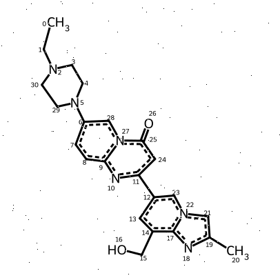 CCN1CCN(c2ccc3nc(-c4cc(CO)c5nc(C)cn5c4)cc(=O)n3c2)CC1